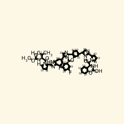 COC(=O)N[C@H](C(=O)n1cccc1-c1nc2ccc(-c3cnc4n3[C@H](c3cc(F)cc(F)c3)Oc3cc(-c5cnc(-c6cccn6C(=O)[C@@H](NC(=O)O)c6ccccc6)[nH]5)ccc3-4)cc2[nH]1)C(C)C